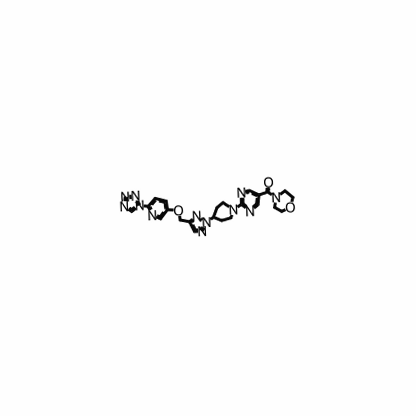 O=C(c1cnc(N2CCC(n3ncc(COc4ccc(-n5cnnn5)nc4)n3)CC2)nc1)N1CCOCC1